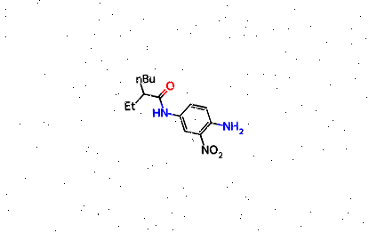 CCCCC(CC)C(=O)Nc1ccc(N)c([N+](=O)[O-])c1